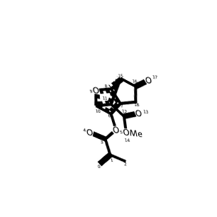 C=C(C)C(=O)Oc1c2c3oc1c(C(=O)OC)c3C(=O)C2